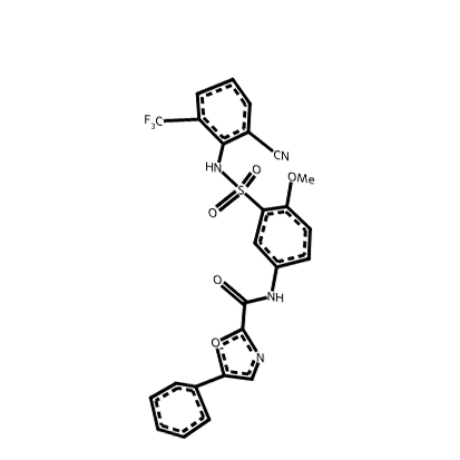 COc1ccc(NC(=O)c2ncc(-c3ccccc3)o2)cc1S(=O)(=O)Nc1c(C#N)cccc1C(F)(F)F